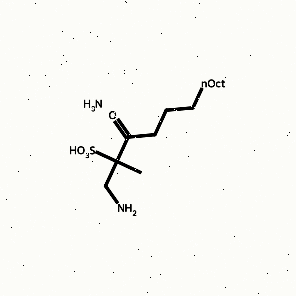 CCCCCCCCCCCC(=O)C(C)(CN)S(=O)(=O)O.N